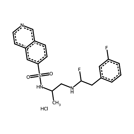 CC(CNC(F)Cc1cccc(F)c1)NS(=O)(=O)c1ccc2cnccc2c1.Cl